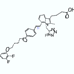 Cc1c(CCCC(=O)O)c2cccc(/C=C/c3ccc(OCCCCOc4cccc(F)c4F)cc3)c2n1Cc1nnn[nH]1